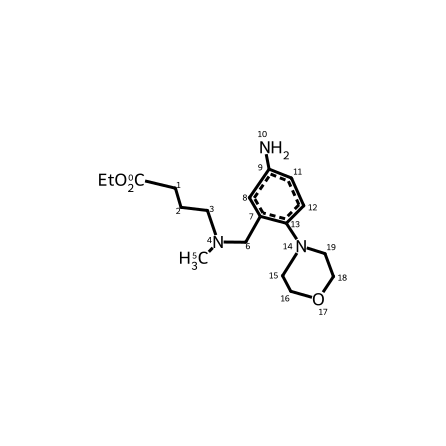 CCOC(=O)CCCN(C)Cc1cc(N)ccc1N1CCOCC1